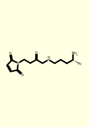 CC(=O)[C@@H](N)CCCNCC(=O)CCN1C(=O)C=CC1=O